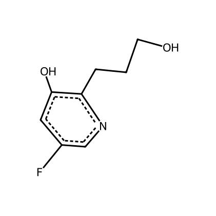 OCCCc1ncc(F)cc1O